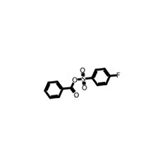 O=C(OS(=O)(=O)c1ccc(F)cc1)c1ccccc1